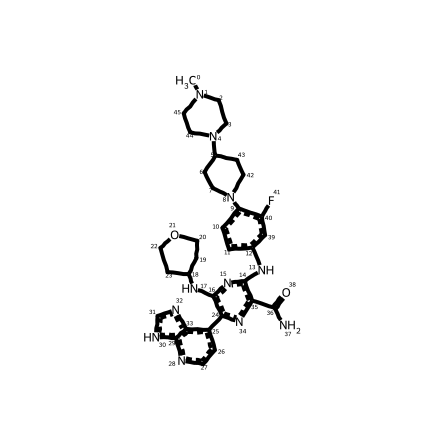 CN1CCN(C2CCN(c3ccc(Nc4nc(NC5CCOCC5)c(-c5ccnc6[nH]cnc56)nc4C(N)=O)cc3F)CC2)CC1